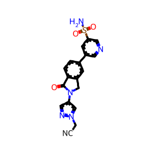 N#CCn1cc(N2Cc3cc(-c4cncc(S(N)(=O)=O)c4)ccc3C2=O)cn1